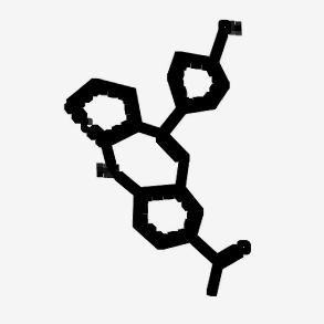 CC(=O)c1ccc2c(c1)C=C(c1ccc(O)cc1)c1ccccc1N2